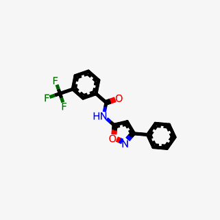 O=C(Nc1cc(-c2ccccc2)no1)c1cccc(C(F)(F)F)c1